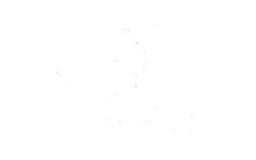 CC(O)CN(/N=C/c1cc(-c2cncn2C)nc2cc(Cl)c(CCC#N)cc12)C(N)=O